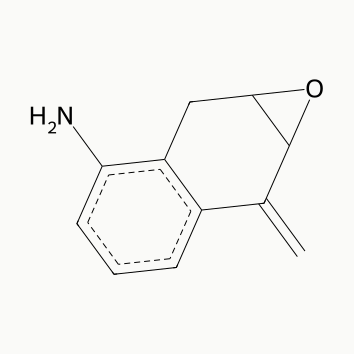 C=C1c2cccc(N)c2CC2OC12